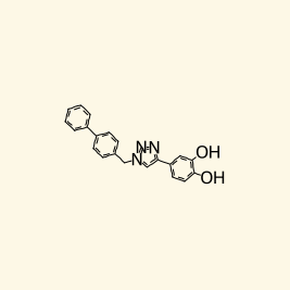 Oc1ccc(-c2cn(Cc3ccc(-c4ccccc4)cc3)nn2)cc1O